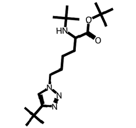 CC(C)(C)NC(CCCCn1cc(C(C)(C)C)nn1)C(=O)OC(C)(C)C